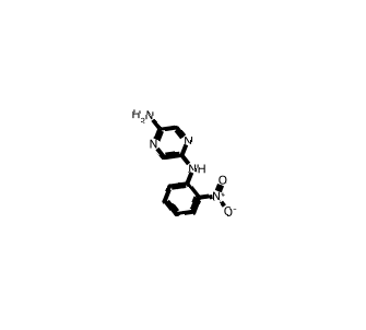 Nc1cnc(Nc2ccccc2[N+](=O)[O-])cn1